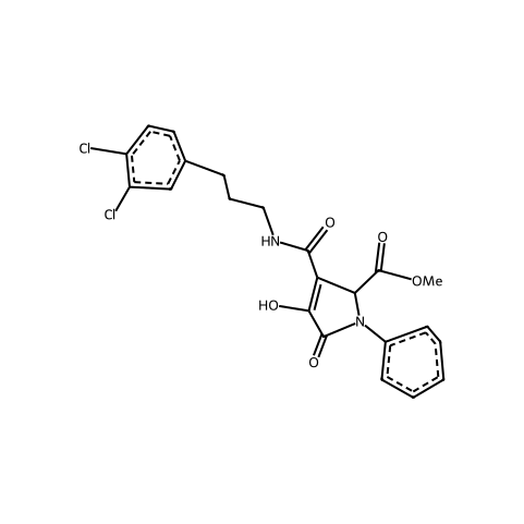 COC(=O)C1C(C(=O)NCCCc2ccc(Cl)c(Cl)c2)=C(O)C(=O)N1c1ccccc1